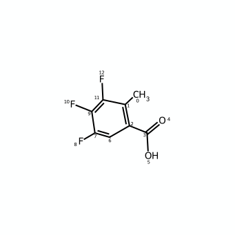 Cc1c(C(=O)O)cc(F)c(F)c1F